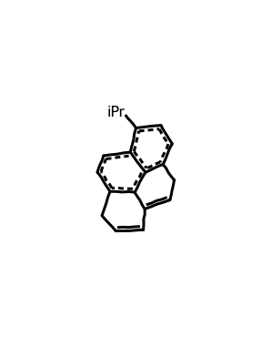 CC(C)c1ccc2c3c4c(ccc13)CC=CC4=CC2